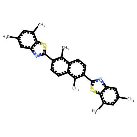 Cc1cc(C)c2sc(-c3ccc4c(C)c(-c5nc6cc(C)cc(C)c6s5)ccc4c3C)nc2c1